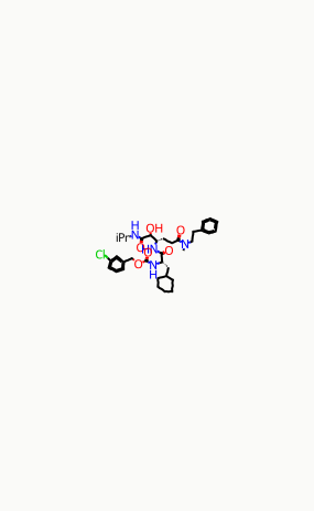 CC(C)NC(=O)C(O)[C@H](CCC(=O)N(C)CCc1ccccc1)NC(=O)[C@H](CC1CCCCC1)NC(=O)OCc1cccc(Cl)c1